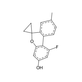 Cc1ccc2c(c1)C1(CC1)Oc1cc(O)cc(F)c1-2